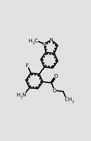 CCOC(=O)c1cc(N)cc(F)c1-c1ccc2cnn(C)c2c1